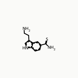 NCCc1c[nH]c2ccc(C(N)=S)cc12